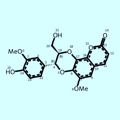 COc1cc([C@H]2Oc3c(OC)cc4ccc(=O)oc4c3O[C@@H]2CO)ccc1O